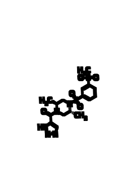 C[C@@H]1CN(C(=O)c2cnn[nH]2)[C@@H](C)CN1S(=O)(=O)c1cccc(S(C)(=O)=O)c1